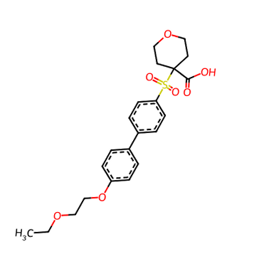 CCOCCOc1ccc(-c2ccc(S(=O)(=O)C3(C(=O)O)CCOCC3)cc2)cc1